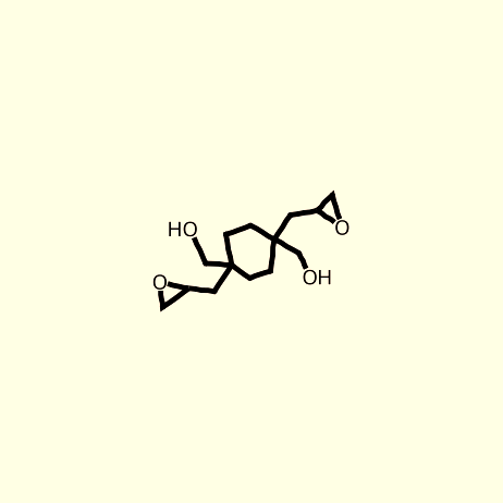 OCC1(CC2CO2)CCC(CO)(CC2CO2)CC1